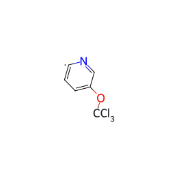 ClC(Cl)(Cl)Oc1cc[c]nc1